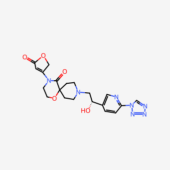 O=C1C=C(N2CCOC3(CCN(C[C@@H](O)c4ccc(-n5cnnn5)nc4)CC3)C2=O)CO1